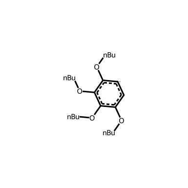 CCCCOc1[c]cc(OCCCC)c(OCCCC)c1OCCCC